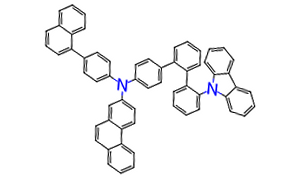 c1ccc(-c2ccccc2-n2c3ccccc3c3ccccc32)c(-c2ccc(N(c3ccc(-c4cccc5ccccc45)cc3)c3ccc4c(ccc5ccccc54)c3)cc2)c1